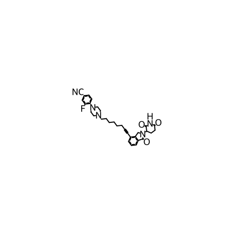 N#Cc1ccc(N2CCN(CCCCCCC#Cc3cccc4c3CN(C3CCC(=O)NC3=O)C4=O)CC2)c(F)c1